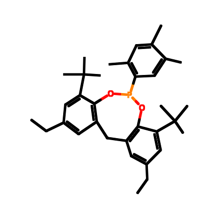 CCc1cc2c(c(C(C)(C)C)c1)OP(c1cc(C)c(C)cc1C)Oc1c(cc(CC)cc1C(C)(C)C)C2